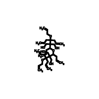 C=CCOC(CC=C)(CC=C)C(CO)(CO)C(CC=C)OC(CC=C)C(CO)(CO)C(CC=C)(CC=C)OCC=C